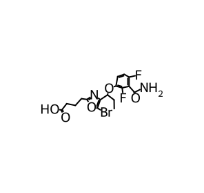 CCC(Oc1ccc(F)c(C(N)=O)c1F)c1nc(CCCC(=O)O)oc1Br